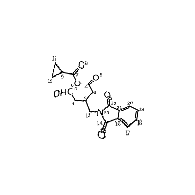 O=CCC(CC(=O)OC(=O)C1CC1)CN1C(=O)c2ccccc2C1=O